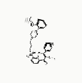 COc1ccccc1N1CCN(CCCS(=O)(=O)c2cccc3c(=O)c(C)c(-c4ccccc4)oc23)CC1.Cl